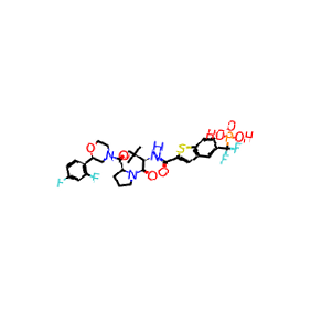 CC(C)(C)[C@H](NC(=O)c1cc2cc(C(F)(F)P(=O)(O)O)ccc2s1)C(=O)N1CCC[C@H]1C(=O)N1CCOC(c2ccc(F)cc2F)C1